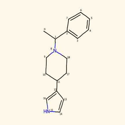 CC(c1ccccc1)N1CCC(c2cc[nH]c2)CC1